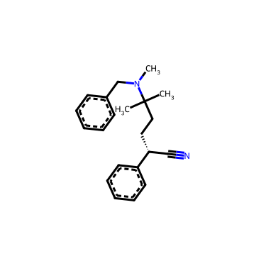 CN(Cc1ccccc1)C(C)(C)CC[C@H](C#N)c1ccccc1